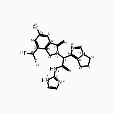 C=C(Nc1ncc[nH]1)C(c1ncn2c1CCC2)N1Cc2c(cc(Br)cc2C(F)F)C1=C